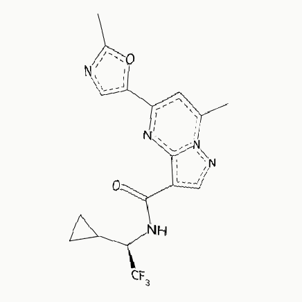 Cc1ncc(-c2cc(C)n3ncc(C(=O)N[C@H](C4CC4)C(F)(F)F)c3n2)o1